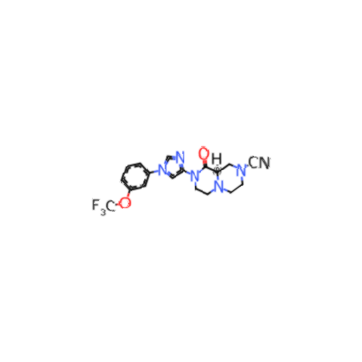 N#CN1CCN2CCN(c3cn(-c4cccc(OC(F)(F)F)c4)cn3)C(=O)[C@H]2C1